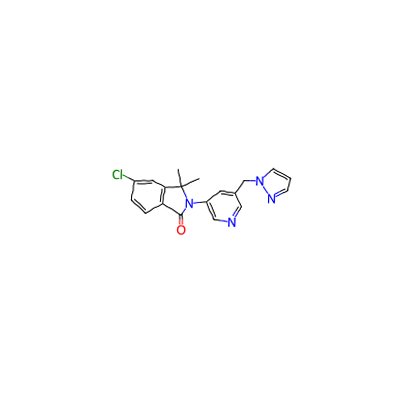 CC1(C)c2cc(Cl)ccc2C(=O)N1c1cncc(Cn2cccn2)c1